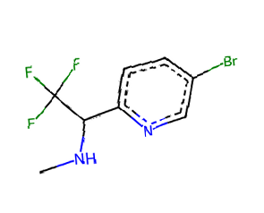 CNC(c1ccc(Br)cn1)C(F)(F)F